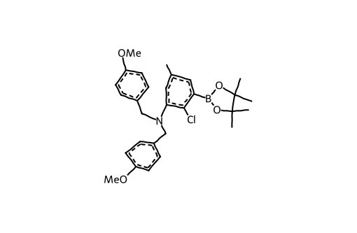 COc1ccc(CN(Cc2ccc(OC)cc2)c2cc(C)cc(B3OC(C)(C)C(C)(C)O3)c2Cl)cc1